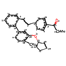 COC(=O)c1ccc(CCc2ccccc2-c2ccc(OC)c(OC3CCCC3)c2)cc1